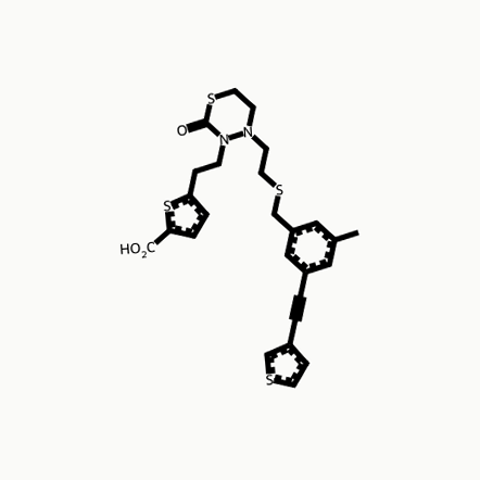 Cc1cc(C#Cc2ccsc2)cc(CSCCN2CCSC(=O)N2CCc2ccc(C(=O)O)s2)c1